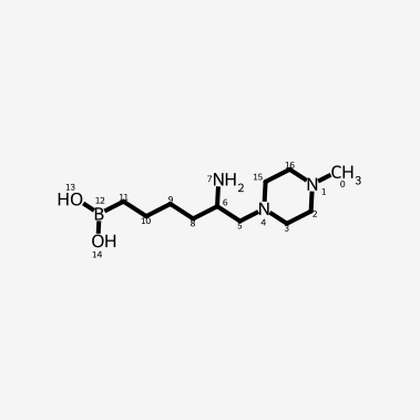 CN1CCN(CC(N)CCCCB(O)O)CC1